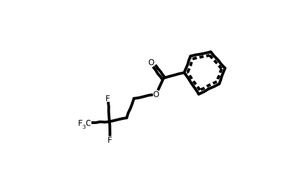 O=C(OCCC(F)(F)C(F)(F)F)c1ccccc1